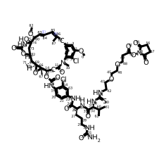 COc1cc2cc(c1Cl)N(C)C(=O)C[C@H](OC(=O)Nc1ccc(NC(=O)[C@H](CCCNC(N)=O)NC(=O)[C@@H](NC(=S)NCCOCCOCCC(=O)ON3C(=O)CCC3=O)C(C)C)cc1Cl)[C@]1(C)O[C@H]1[C@H](C)[C@@H]1C[C@@](O)(NC(=O)O1)[C@H](OC)/C=C/C=C(\C)C2